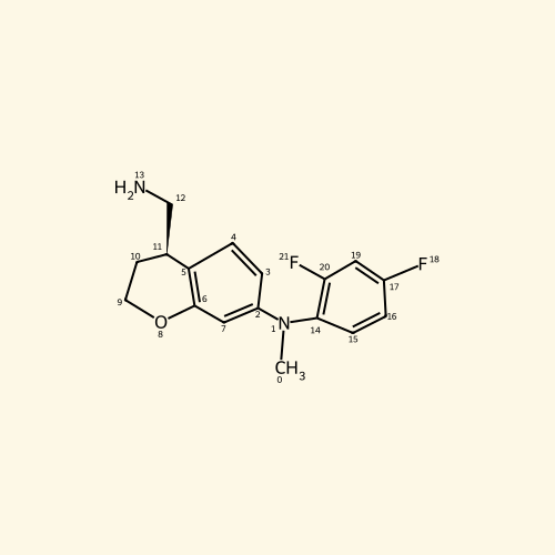 CN(c1ccc2c(c1)OCC[C@H]2CN)c1ccc(F)cc1F